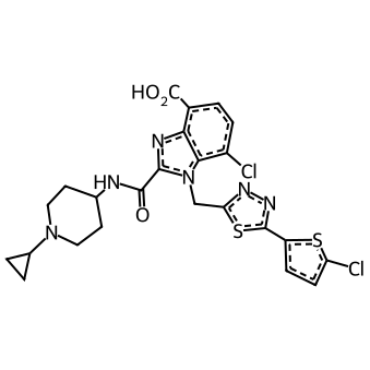 O=C(O)c1ccc(Cl)c2c1nc(C(=O)NC1CCN(C3CC3)CC1)n2Cc1nnc(-c2ccc(Cl)s2)s1